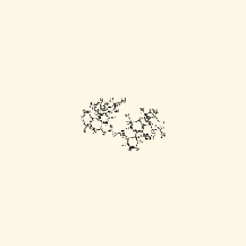 Cc1cc(-c2ccccc2SCCCCSc2ccccc2-c2cc(C)cc(C34C[C@H]5C[C@H](C3)C[C@@H](C4)C5)c2O)c(O)c(C23CC4C[C@H](C2)C[C@@H](C4)C3)c1